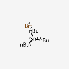 CCC[CH2][Sn+]([CH2]CCC)[CH2]CCC.[Br-]